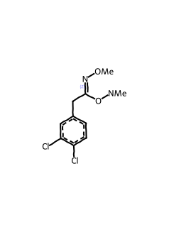 CNO/C(Cc1ccc(Cl)c(Cl)c1)=N\OC